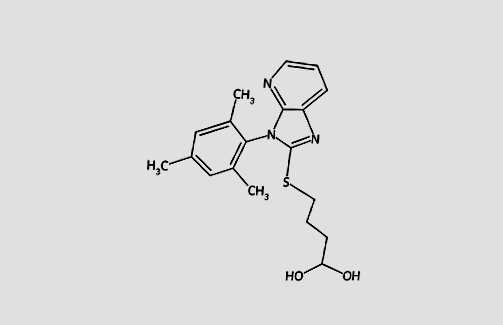 Cc1cc(C)c(-n2c(SCCCC(O)O)nc3cccnc32)c(C)c1